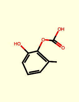 Cc1cccc(O)c1OC(=O)O